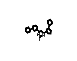 Ic1nc(-c2cccc(-c3ccccc3)c2)cc(-c2cccc(-c3ccccc3)c2)n1